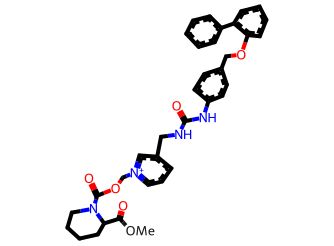 COC(=O)C1CCCCN1C(=O)OC[n+]1cccc(CNC(=O)Nc2ccc(COc3ccccc3-c3ccccc3)cc2)c1